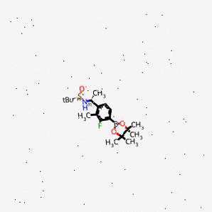 Cc1c([C@@H](C)N[S@@+]([O-])C(C)(C)C)ccc(B2OC(C)(C)C(C)(C)O2)c1F